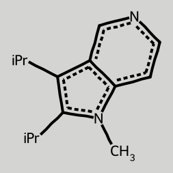 CC(C)c1c(C(C)C)n(C)c2ccncc12